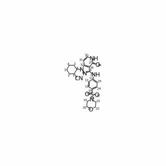 N#CC1CCCCC1n1nc(Nc2ccc(S(=O)(=O)N3CCOCC3)cc2)c2c(=O)[nH]ccc21